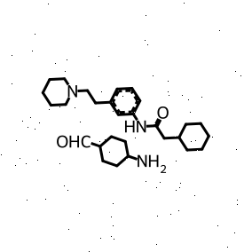 NC1CCC(C=O)CC1.O=C(CC1CCCCC1)Nc1cccc(CCN2CCCCC2)c1